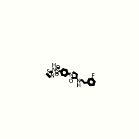 O=C1C(NCCc2cccc(F)c2)CCN1c1ccc(S(=O)(=O)Nc2nccs2)cc1